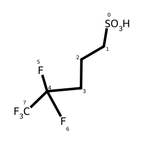 O=S(=O)(O)CCCC(F)(F)C(F)(F)F